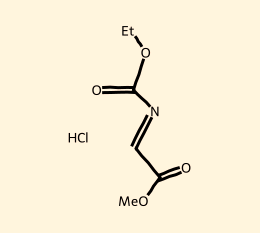 CCOC(=O)N=CC(=O)OC.Cl